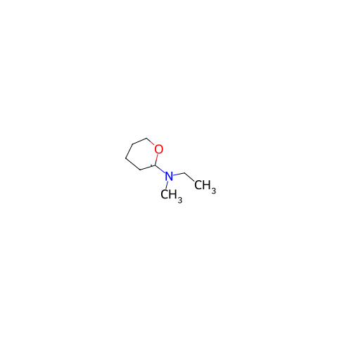 CCN(C)[C]1CCCCO1